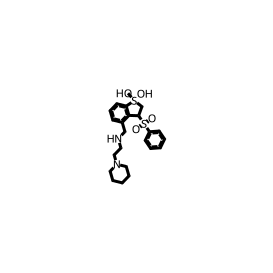 O=S(=O)(c1ccccc1)C1CS(O)(O)c2cccc(CNCCN3CCCCC3)c21